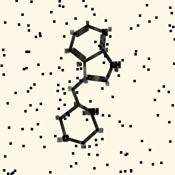 c1cnc2[nH]cc(CC3COCCN3)c2c1